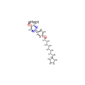 CCCCCCCOc1cnc(-c2ccc(OCCCCCCCCC3CCCC3)cc2)nc1